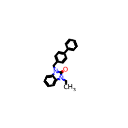 CCn1c(=O)n(Cc2ccc(-c3ccccc3)cc2)c2ccccc21